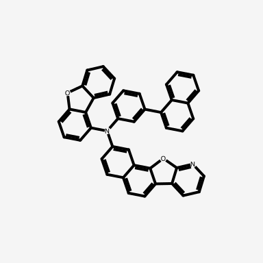 c1cc(-c2cccc3ccccc23)cc(N(c2ccc3ccc4c5cccnc5oc4c3c2)c2cccc3oc4ccccc4c23)c1